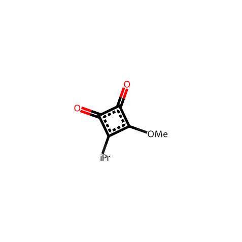 COc1c(C(C)C)c(=O)c1=O